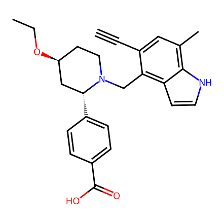 C#Cc1cc(C)c2[nH]ccc2c1CN1CC[C@H](OCC)C[C@H]1c1ccc(C(=O)O)cc1